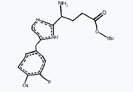 CC(C)(C)OC(=O)CCC(N)c1ncc(-c2ccc(C#N)c(F)c2)[nH]1